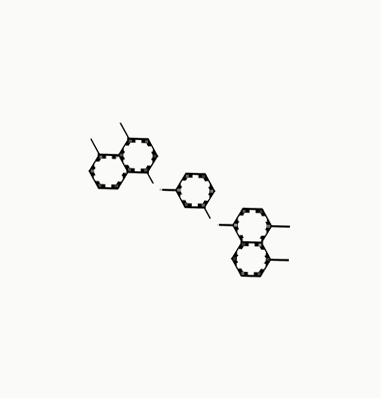 Cc1cccc2c(Oc3cccc(Oc4ccc(C)c5c(C)cccc45)c3)ccc(C)c12